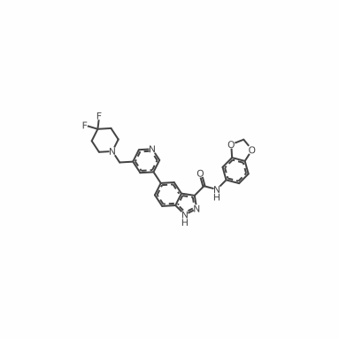 O=C(Nc1ccc2c(c1)OCO2)c1n[nH]c2ccc(-c3cncc(CN4CCC(F)(F)CC4)c3)cc12